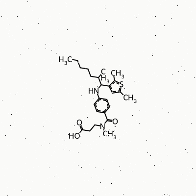 CCCCCC(C)C(Nc1ccc(C(=O)N(C)CCC(=O)O)cc1)c1cc(C)sc1C